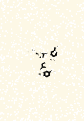 COC(=O)c1ccc([N+](=O)[O-])c(NCC2CCN(C(=O)OC(C)(C)C)C2)c1.COC(=O)c1ccc2[nH]c(=O)n(CC3CCNC3)c2c1.Cl